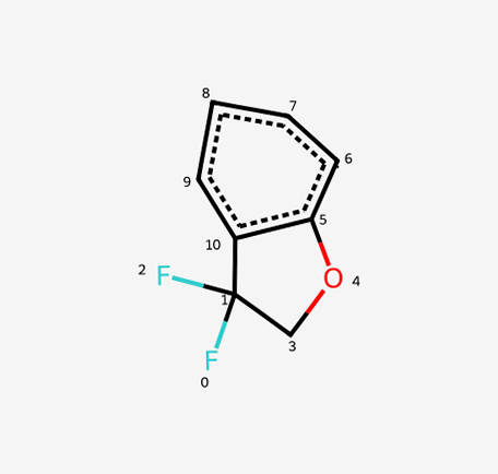 FC1(F)COc2[c]cccc21